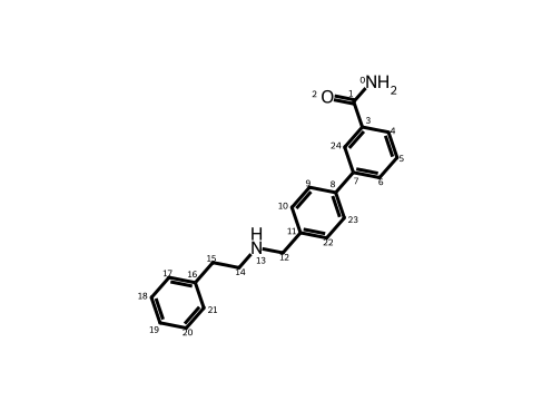 NC(=O)c1cccc(-c2ccc(CNCCc3ccccc3)cc2)c1